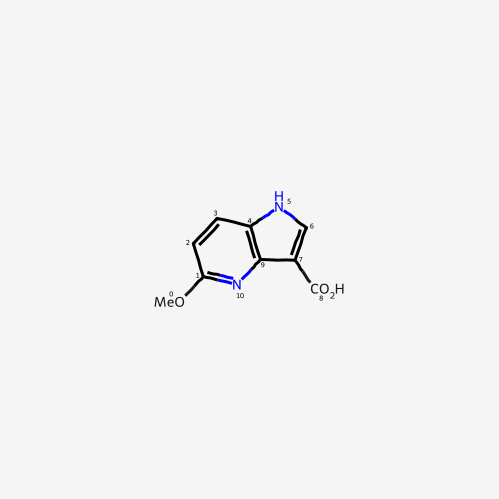 COc1ccc2[nH]cc(C(=O)O)c2n1